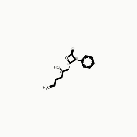 C=CCC[C@@H](O)C[C@@H]1OC(=O)[C@H]1c1ccccc1